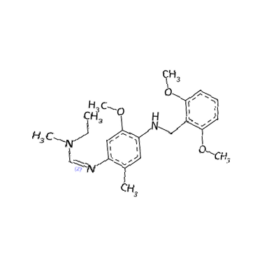 CCN(C)/C=N\c1cc(OC)c(NCc2c(OC)cccc2OC)cc1C